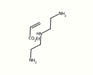 C=CC(=O)OCC.NCCNCCN